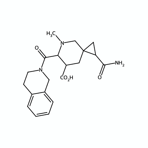 CN1CC2(CC(C(=O)O)C1C(=O)N1CCc3ccccc3C1)CC2C(N)=O